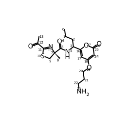 CCCC(NC(=O)[C@]1(C)CSC(C(C)=O)=N1)c1cc(OCCCN)cc(=O)o1